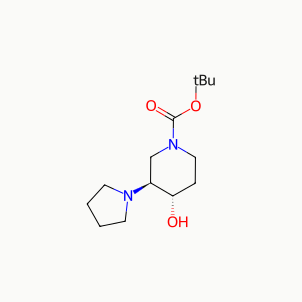 CC(C)(C)OC(=O)N1CC[C@H](O)[C@@H](N2CCCC2)C1